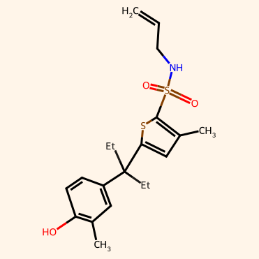 C=CCNS(=O)(=O)c1sc(C(CC)(CC)c2ccc(O)c(C)c2)cc1C